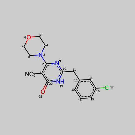 N#Cc1c(N2CCOCC2)nc(Cc2cccc(Cl)c2)[nH]c1=O